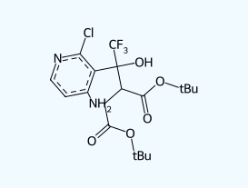 CC(C)(C)OC(=O)CC(C(=O)OC(C)(C)C)C(O)(c1c(N)ccnc1Cl)C(F)(F)F